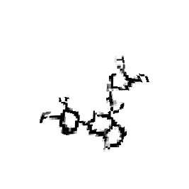 COc1cc(-c2cc3ncccc3c(OC[C@H]3CNC(=O)C3)n2)ccc1F